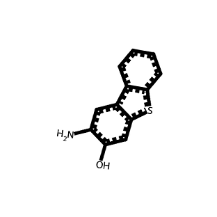 Nc1cc2c(cc1O)sc1ccccc12